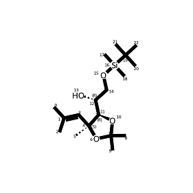 CC(C)=C[C@]1(C)OC(C)(C)O[C@@H]1[C@H](O)CO[Si](C)(C)C(C)(C)C